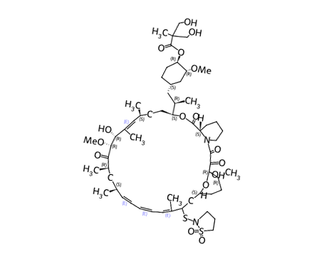 CO[C@@H]1C[C@H](C[C@@H](C)[C@@H]2CC[C@H](C)/C=C(\C)[C@@H](O)[C@@H](OC)C(=O)[C@H](C)C[C@H](C)/C=C/C=C/C=C(\C)C(SN3CCCS3(=O)=O)C[C@@H]3CC[C@@H](C)[C@@](O)(O3)C(=O)C(=O)N3CCCC[C@H]3C(=O)O2)CC[C@H]1OC(=O)C(C)(CO)CO